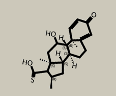 C[C@@H]1C[C@H]2[C@@H]3CCC4=CC(=O)C=C[C@]4(C)[C@H]3C(O)C[C@]2(C)C1C(O)=S